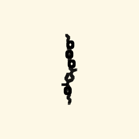 CCCCOC=C(C)c1ccc(C(C)=COCCOCCOCCC)cc1